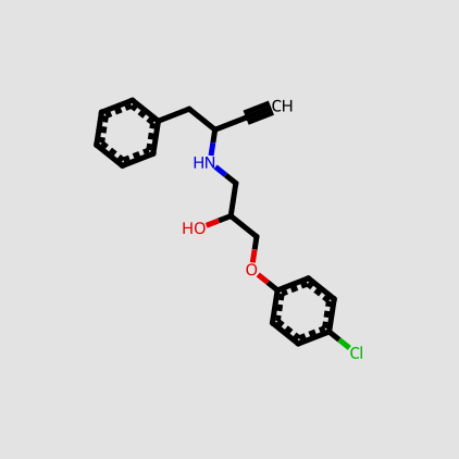 C#CC(Cc1ccccc1)NCC(O)COc1ccc(Cl)cc1